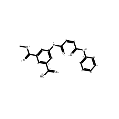 COC(=O)c1cc(OC(=O)/C=C\C(=O)Oc2ccccc2)cc(C(=O)O)c1